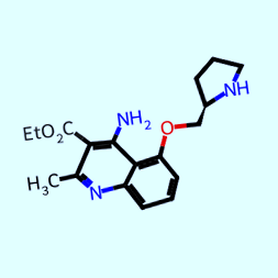 CCOC(=O)c1c(C)nc2cccc(OC[C@H]3CCCN3)c2c1N